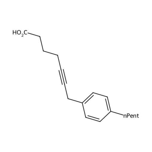 CCCCCc1ccc(CC#CCCCC(=O)O)cc1